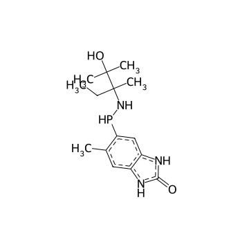 CCC(C)(NPc1cc2[nH]c(=O)[nH]c2cc1C)C(C)(C)O